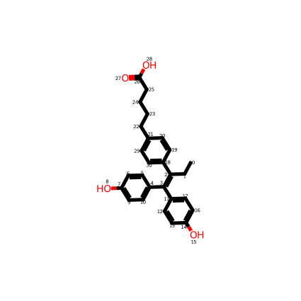 CCC(=C(c1ccc(O)cc1)c1ccc(O)cc1)c1ccc(CCCCC(=O)O)cc1